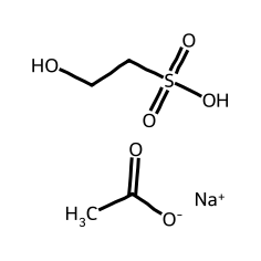 CC(=O)[O-].O=S(=O)(O)CCO.[Na+]